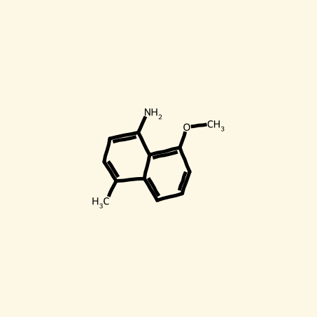 COc1cccc2c(C)ccc(N)c12